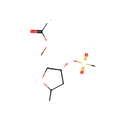 COC1C[C@H](OS(C)(=O)=O)[C@@H](COC(=O)OCC(C)C)O1